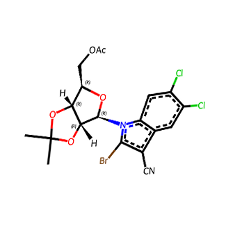 CC(=O)OC[C@H]1O[C@@H](n2c(Br)c(C#N)c3cc(Cl)c(Cl)cc32)[C@@H]2OC(C)(C)O[C@@H]21